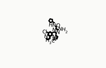 Cn1ccc(-c2nc(N)c(C(=O)NCC3CCCC3)nc2-c2cc(Cl)c3ncccc3c2)n1